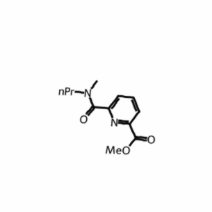 CCCN(C)C(=O)c1cccc(C(=O)OC)n1